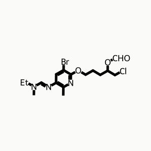 CCN(C)/C=N/c1cc(Br)c(OCCCC(CCl)OC=O)nc1C